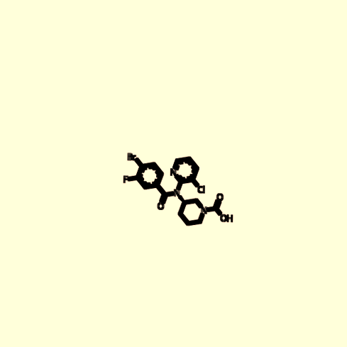 O=C(O)N1CCC[C@@H](N(C(=O)c2ccc(Br)c(F)c2)c2ncccc2Cl)C1